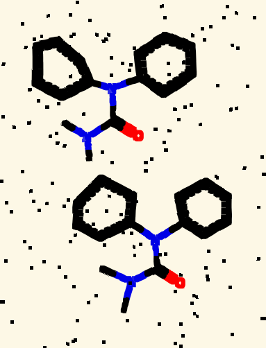 CN(C)C(=O)N(c1ccccc1)c1ccccc1.CN(C)C(=O)N(c1ccccc1)c1ccccc1